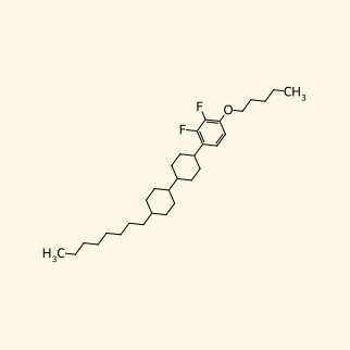 CCCCCCCCC1CCC(C2CCC(c3ccc(OCCCCC)c(F)c3F)CC2)CC1